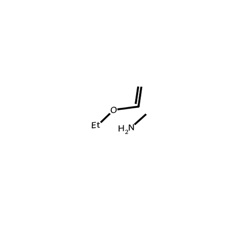 C=COCC.CN